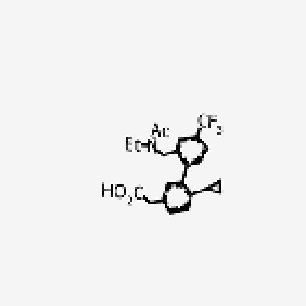 CCN(Cc1cc(C(F)(F)F)ccc1-c1cc(CC(=O)O)ccc1C1CC1)C(C)=O